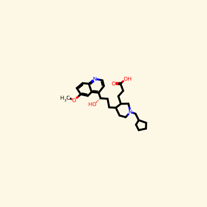 COc1ccc2nccc([C@@H](O)CCC3CCN(CC4CCCC4)CC3CCC(=O)O)c2c1